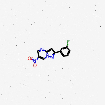 O=[N+]([O-])c1cnc2cc(-c3cccc(F)c3)nn2c1